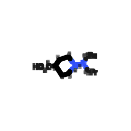 CCCN(N1CCC(C(=O)O)CC1)C(C)(C)C